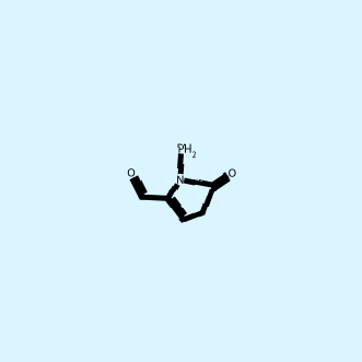 O=CC1=CCC(=O)N1P